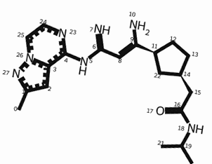 Cc1cc2c(NC(=N)/C=C(\N)[C@H]3CC[C@@H](CC(=O)NC(C)C)C3)nccn2n1